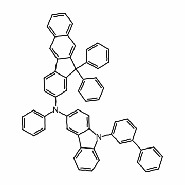 c1ccc(-c2cccc(-n3c4ccccc4c4cc(N(c5ccccc5)c5ccc6c(c5)C(c5ccccc5)(c5ccccc5)c5cc7ccccc7cc5-6)ccc43)c2)cc1